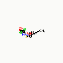 CCCCCCCCCC(OC)c1cccc(-c2csc(NC(=O)c3cc(Cl)c(/C=C(\C)C(=O)O)c(Cl)c3)n2)c1OC